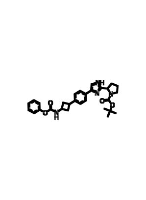 CC(C)(C)OC(=O)N1CCCC1c1nc(-c2ccc(C3CC(NC(=O)Oc4ccccc4)C3)cc2)c[nH]1